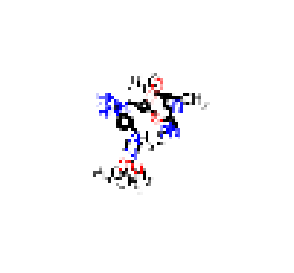 COC(=O)c1cc(C)nc(-c2cnn(C)c2OCC2CC(Cn3c(=N)[nH]c4ccc(CN5CCN(C(=O)OC(C)(C)C)CC5)cc43)C2)c1